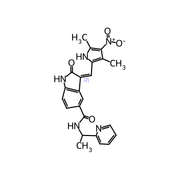 Cc1[nH]c(/C=C2\C(=O)Nc3ccc(C(=O)NC(C)c4ccccn4)cc32)c(C)c1[N+](=O)[O-]